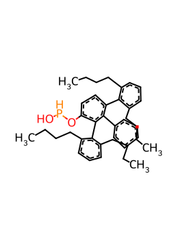 CCCCc1cccc(CCCC)c1-c1ccc(OPO)c(-c2c(CCCC)cccc2CCCC)c1-c1ccccc1